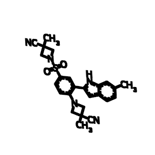 Cc1ccc2cc(-c3cc(S(=O)(=O)N4CC(C)(C#N)C4)ccc3N3CC(C)(C#N)C3)[nH]c2c1